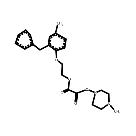 Cc1ccc(OCCOC(=O)C(=O)ON2CCN(C)CC2)c(Cc2ccccc2)c1